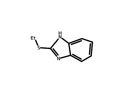 C[CH]Sc1nc2ccccc2[nH]1